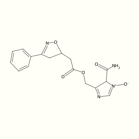 NC(=O)C1C(COC(=O)CC2CC(c3ccccc3)=NO2)=NC=[N+]1[O-]